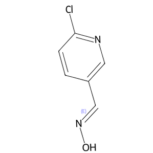 O/N=C/c1ccc(Cl)nc1